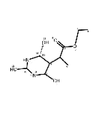 CCOC(=O)C(C)C1C(O)NC(O)N[C@@H]1O